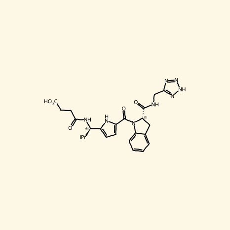 CC(C)[C@@H](NC(=O)CCC(=O)O)c1ccc(C(=O)N2c3ccccc3C[C@H]2C(=O)NCc2nn[nH]n2)[nH]1